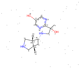 CC(O)(CN[C@@H]1C[C@@H]2CNC[C@@H]21)c1ncc(O)cn1